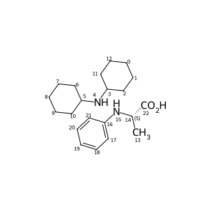 C1CCC(NC2CCCCC2)CC1.C[C@H](Nc1ccccc1)C(=O)O